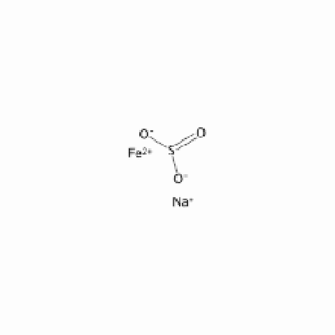 O=S([O-])[O-].[Fe+2].[Na+]